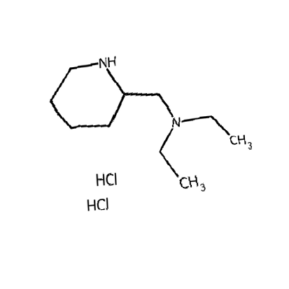 CCN(CC)CC1CCCCN1.Cl.Cl